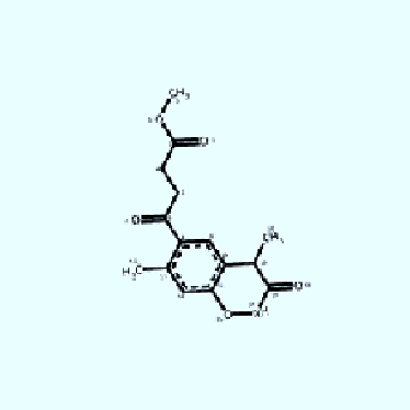 COC(=O)CCC(=O)c1cc2c(cc1C)ONC(=O)C2C